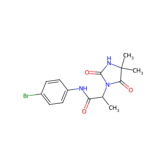 CC(C(=O)Nc1ccc(Br)cc1)N1C(=O)NC(C)(C)C1=O